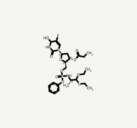 CCOC(OCC)[C@H](C)NP(=O)(OC[C@H]1O[C@@H](N2C=C(F)C(O)NC2=O)C[C@@H]1OC(=O)CC)Oc1ccccc1